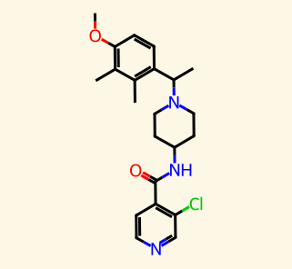 COc1ccc(C(C)N2CCC(NC(=O)c3ccncc3Cl)CC2)c(C)c1C